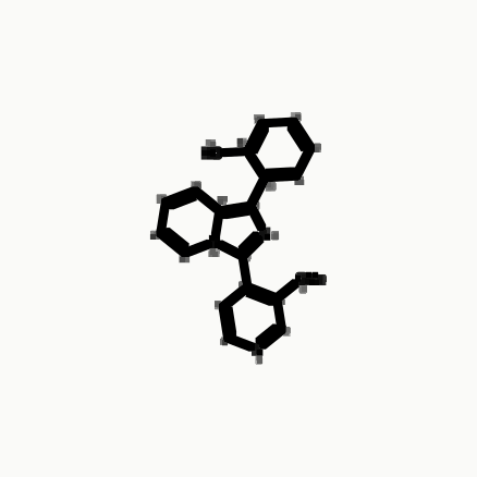 COc1cnccc1-c1nc(-c2ccccc2O)c2ccccn12